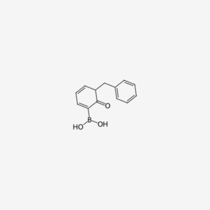 O=C1C(B(O)O)=CC=CC1Cc1ccccc1